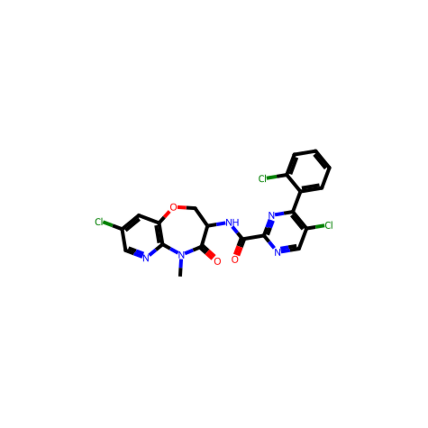 CN1C(=O)C(NC(=O)c2ncc(Cl)c(-c3ccccc3Cl)n2)COc2cc(Cl)cnc21